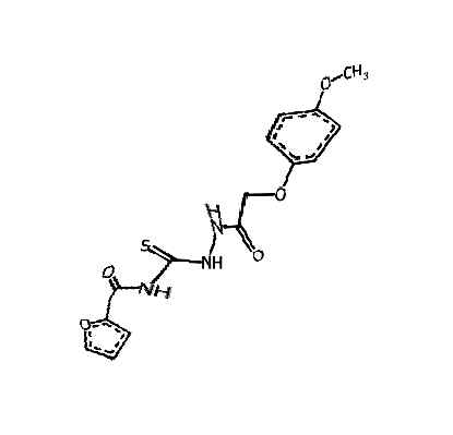 COc1ccc(OCC(=O)NNC(=S)NC(=O)c2ccco2)cc1